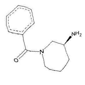 N[C@H]1CCCN(C(=O)c2ccccc2)C1